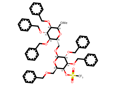 CO[C@H]1O[C@H](CO[C@@H]2O[C@H](COCc3ccccc3)[C@H](OS(=O)(=O)C(F)(F)F)[C@H](OCc3ccccc3)[C@H]2OCc2ccccc2)[C@@H](OCc2ccccc2)[C@H](OCc2ccccc2)[C@H]1OCc1ccccc1